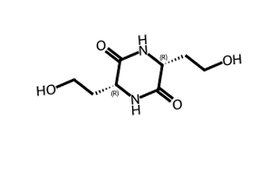 O=C1N[C@H](CCO)C(=O)N[C@@H]1CCO